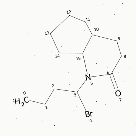 [CH2]CCC(Br)N1C(=O)CCC2CCCCC21